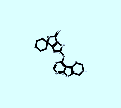 O=C1NC2(CCCCC2)c2cc(Nc3ncnc4sc5c(c34)CCCC5)sc21